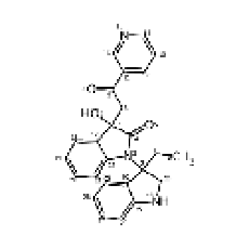 CCC1(N2C(=O)C(O)(CC(=O)c3cccnc3)c3ccccc32)CNc2ccccc21